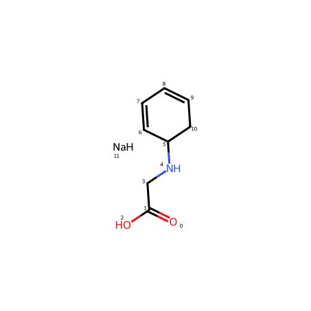 O=C(O)CNC1C=CC=CC1.[NaH]